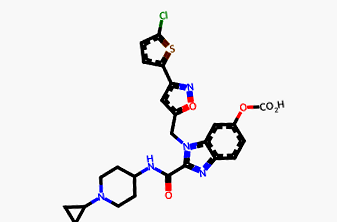 O=C(O)Oc1ccc2nc(C(=O)NC3CCN(C4CC4)CC3)n(Cc3cc(-c4ccc(Cl)s4)no3)c2c1